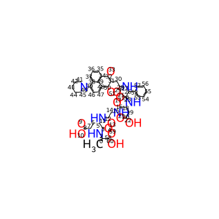 C[C@H](NC(=O)[C@H](CCC(=O)O)NC(=O)CNC(=O)[C@H](CC(=O)O)NC(=O)C(NC(=O)CC1C(=O)c2cccc3c(N4CCCCC4)ccc(c23)C1=O)c1ccccc1)C(=O)O